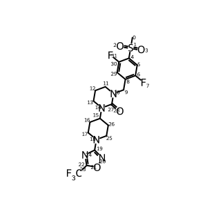 CS(=O)(=O)c1cc(F)c(CN2CCCN(C3CCN(c4noc(C(F)(F)F)n4)CC3)C2=O)cc1F